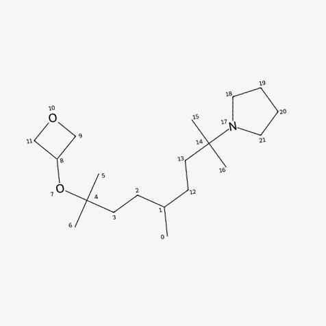 CC(CCC(C)(C)OC1COC1)CCC(C)(C)N1CCCC1